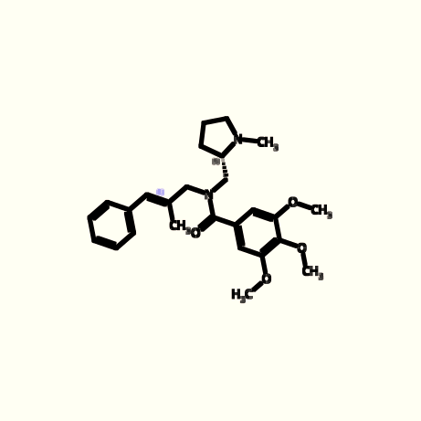 COc1cc(C(=O)N(C/C(C)=C/c2ccccc2)C[C@@H]2CCCN2C)cc(OC)c1OC